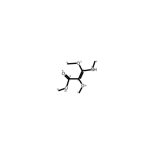 CNC(OC)=C(OC)C(=O)OC